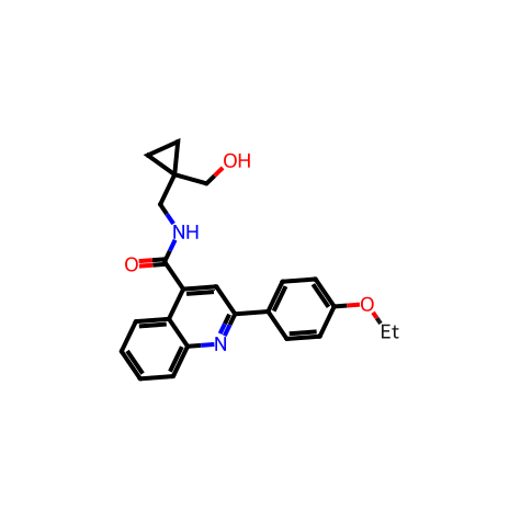 CCOc1ccc(-c2cc(C(=O)NCC3(CO)CC3)c3ccccc3n2)cc1